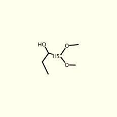 CCC(O)[SiH](OC)OC